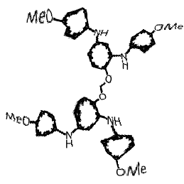 COc1ccc(Nc2ccc(OCOc3ccc(Nc4ccc(OC)cc4)cc3Nc3ccc(OC)cc3)c(Nc3ccc(OC)cc3)c2)cc1